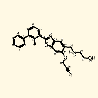 Cc1c(-c2ccccc2)cccc1-c1nc2cc(CNCCO)c(OCC#N)cc2o1